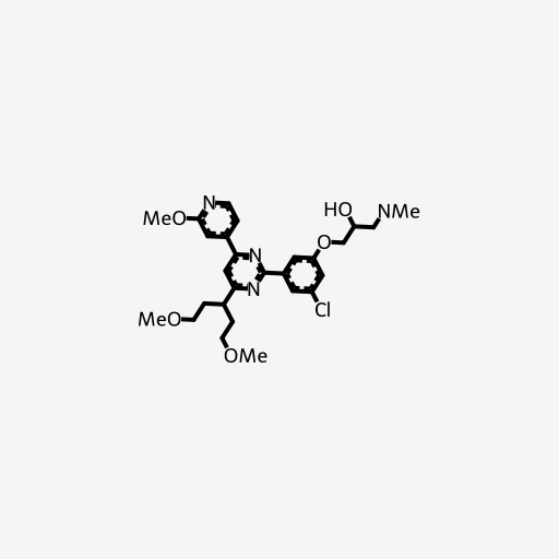 CNCC(O)COc1cc(Cl)cc(-c2nc(-c3ccnc(OC)c3)cc(C(CCOC)CCOC)n2)c1